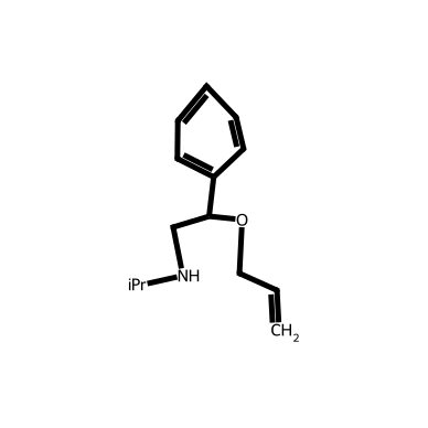 C=CCOC(CNC(C)C)c1ccccc1